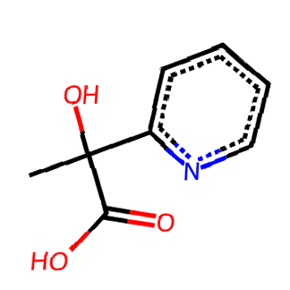 CC(O)(C(=O)O)c1ccccn1